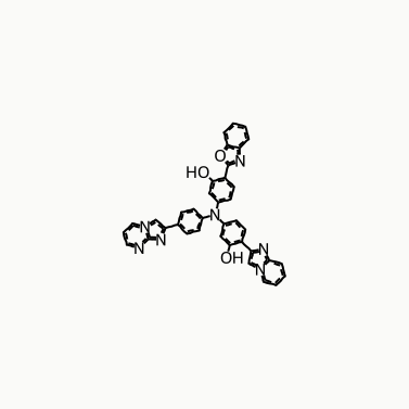 Oc1cc(N(c2ccc(-c3cn4cccnc4n3)cc2)c2ccc(-c3nc4ccccc4o3)c(O)c2)ccc1-c1cn2ccccc2n1